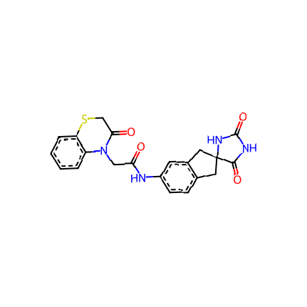 O=C(CN1C(=O)CSc2ccccc21)Nc1ccc2c(c1)CC1(C2)NC(=O)NC1=O